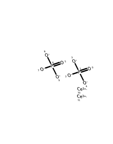 O=P([O-])([O-])[O-].O=P([O-])([O-])[O-].[Ce+3].[Ce+3]